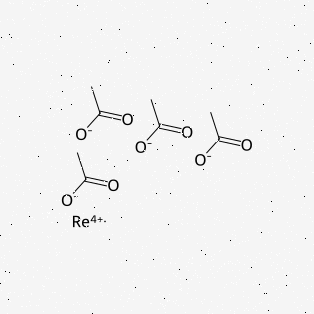 CC(=O)[O-].CC(=O)[O-].CC(=O)[O-].CC(=O)[O-].[Re+4]